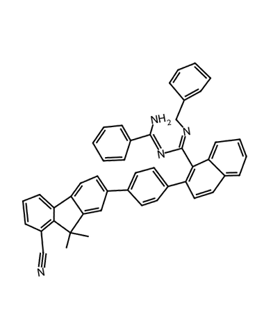 CC1(C)c2cc(-c3ccc(-c4ccc5ccccc5c4C(/N=C(\N)c4ccccc4)=N/Cc4ccccc4)cc3)ccc2-c2cccc(C#N)c21